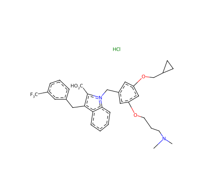 CN(C)CCCOc1cc(Cn2c(C(=O)O)c(Cc3cccc(C(F)(F)F)c3)c3ccccc32)cc(OCC2CC2)c1.Cl